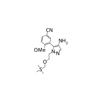 COc1ccc(C#N)cc1-c1c(N)cnn1CCOCS(C)(C)C